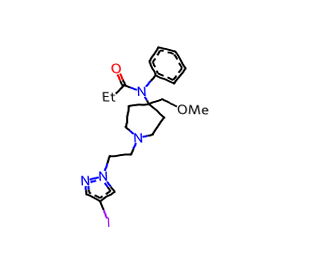 CCC(=O)N(c1ccccc1)C1(COC)CCN(CCn2cc(I)cn2)CC1